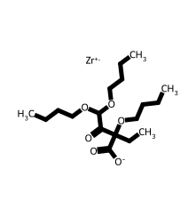 CCCCOC(OCCCC)C(=O)C(CC)(OCCCC)C(=O)[O-].[Zr+]